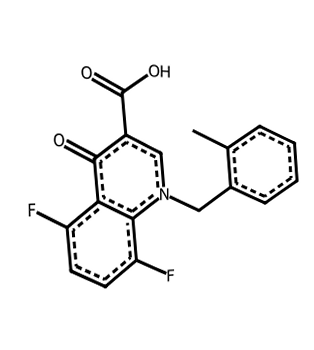 Cc1ccccc1Cn1cc(C(=O)O)c(=O)c2c(F)ccc(F)c21